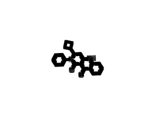 O=c1c2ccccc2[nH]c2cc(C3CCC3)n(-c3ccccc3)c(=O)c12